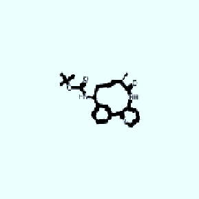 C[C@@H]1/C=C/C[C@H](NC(=O)OC(C)(C)C)c2cccc(c2)-c2ncccc2NC1=O